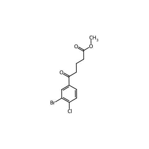 COC(=O)CCCC(=O)c1ccc(Cl)c(Br)c1